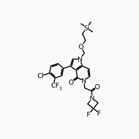 C[Si](C)(C)CCOCn1cc(-c2ccc(Cl)c(C(F)(F)F)c2)c2c(=O)n(CC(=O)N3CC(F)(F)C3)ccc21